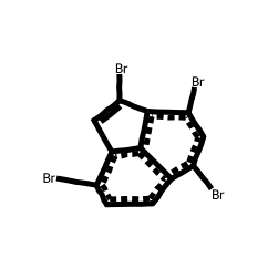 BrC1=Cc2c(Br)ccc3c(Br)cc(Br)c1c23